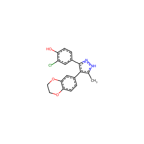 Cc1[nH]nc(-c2ccc(O)c(Cl)c2)c1-c1ccc2c(c1)OCCO2